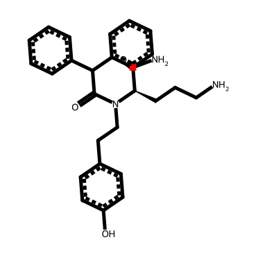 NCCC[C@H](C(N)=O)N(CCc1ccc(O)cc1)C(=O)C(c1ccccc1)c1ccccc1